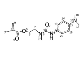 C=C(C)C(=O)OCCNC(=O)Nc1ccc(N(C)C)cc1